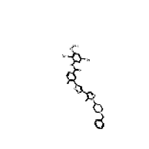 COc1c(NSC)cc(C(C)(C)C)cc1NC(=O)c1ccc(C)c(-n2cc(-c3cnn(C4CCN(Cc5ccccc5)CC4)c3C)nn2)c1